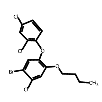 CCCCOc1cc(Cl)c(Br)cc1Oc1ccc(Cl)cc1Cl